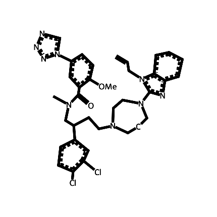 C=CCn1c(N2CCCN(CCC(CN(C)C(=O)c3cc(-n4cnnn4)ccc3OC)c3ccc(Cl)c(Cl)c3)CC2)nc2ccccc21